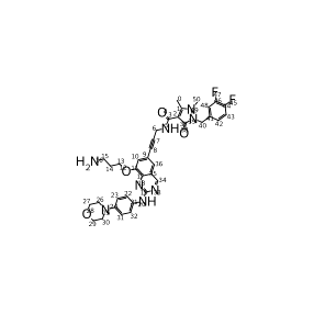 Cc1c(C(=O)NCC#Cc2cc(OCCCN)c3nc(Nc4ccc(N5CCOCC5)cc4)ncc3c2)c(=O)n(Cc2ccc(F)c(F)c2)n1C